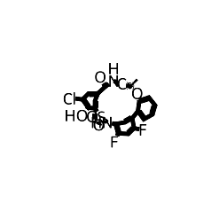 C[C@@H]1CNC(=O)c2cc(Cl)c(O)c(c2)S(=O)(=O)Nc2cc(c(F)cc2F)-c2ccccc2O1